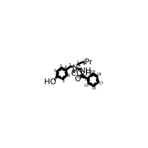 CC(C)C[N@@+](Cc1ccc(O)cc1)(NC(=O)c1ccccc1)C(=O)O